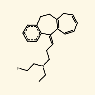 CCN(CCF)CC/C=C1/C2=C(CC=CC=C2)CCc2ccccc21